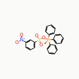 CP(OS(=O)(=O)c1cccc([N+](=O)[O-])c1)(c1ccccc1)(c1ccccc1)c1ccccc1